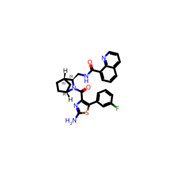 Nc1nc(C(=O)N2[C@@H]3CC[C@@H](C3)[C@H]2CNC(=O)c2cccc3cccnc23)c(-c2cccc(F)c2)s1